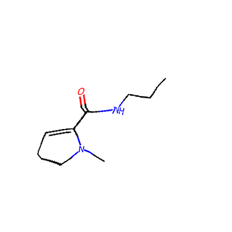 CCCNC(=O)C1=CCCN1C